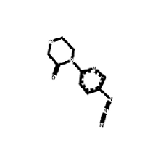 [N-]=[N+]=Nc1ccc(N2CCOCC2=O)nc1